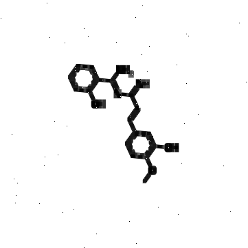 COc1ccc(/C=C/C(=N)/N=C(\N)c2ccccc2O)cc1O